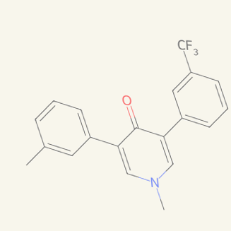 Cc1cccc(-c2cn(C)cc(-c3cccc(C(F)(F)F)c3)c2=O)c1